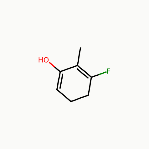 CC1=C(F)CCC=C1O